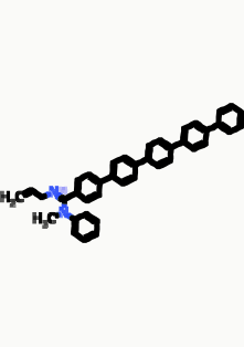 C=CC/N=C(/c1ccc(-c2ccc(-c3ccc(-c4ccc(-c5ccccc5)cc4)cc3)cc2)cc1)N(C)c1ccccc1